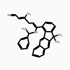 C/C(=C\C=N)C/C=C(\NC(N)c1ccccc1)c1cccc2c1-c1cc3ccccc3cc1C2(C)C